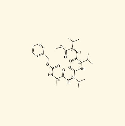 COC(=O)[C@H](NC(=O)[C@@H](NC(=O)[C@H](NC(=O)[C@H](C)NC(=O)OCc1ccccc1)C(C)C)C(C)C)C(C)C